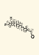 CCC(COC(Cl)C(Cl)C(Cl)CC(Cl)C(Cl)C(Cl)C(Cl)C(Cl)C(Cl)C(Cl)C(Cl)C(C)C(Cl)C(Cl)C(Cl)C(C)C)OCc1ccccc1